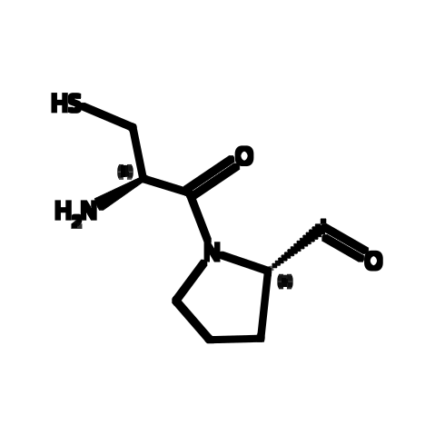 N[C@@H](CS)C(=O)N1CCC[C@H]1[C]=O